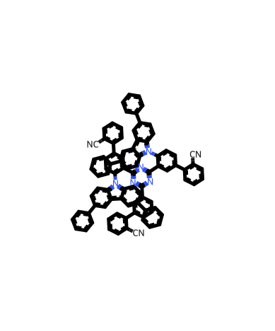 N#Cc1ccccc1-c1cccc(-c2nc(-c3cc(-c4ccccc4C#N)ccc3-n3c4ccc(-c5ccccc5)cc4c4cc(-c5ccccc5)ccc43)nc(-c3cc(-c4ccccc4C#N)ccc3-n3c4ccc(-c5ccccc5)cc4c4cc(-c5ccccc5)ccc43)n2)c1